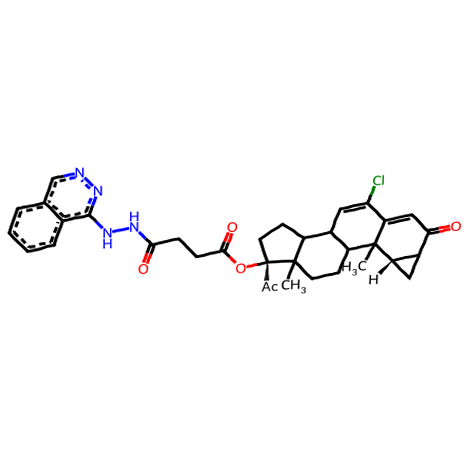 CC(=O)[C@@]1(OC(=O)CCC(=O)NNc2nncc3ccccc23)CCC2C3C=C(Cl)C4=CC(=O)C5C[C@@H]5C4(C)C3CCC21C